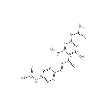 COc1cc(OC(C)=O)cc(O)c1C(=O)C=Cc1ccc(OC(C)=O)cc1